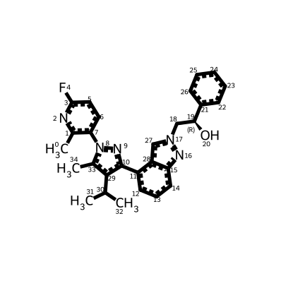 Cc1nc(F)ccc1-n1nc(-c2cccc3nn(C[C@H](O)c4ccccc4)cc23)c(C(C)C)c1C